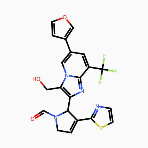 O=CN1CC=C(c2nccs2)C1c1nc2c(C(F)(F)F)cc(-c3ccoc3)cn2c1CO